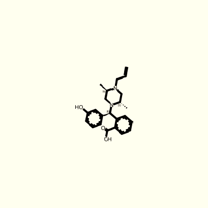 C=CCN1C[C@H](C)N([C@H](c2cccc(O)c2)c2ccccc2C(=O)O)C[C@H]1C